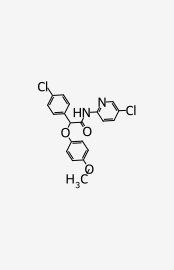 COc1ccc(OC(C(=O)Nc2ccc(Cl)cn2)c2ccc(Cl)cc2)cc1